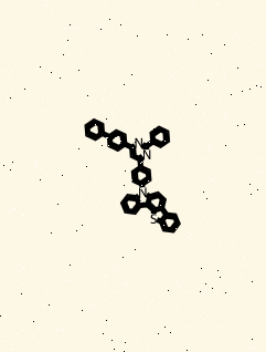 c1ccc(-c2ccc(-c3cc(-c4ccc(-n5c6ccccc6c6c7sc8ccccc8c7ccc65)cc4)nc(-c4ccccc4)n3)cc2)cc1